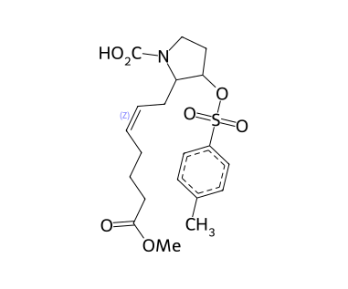 COC(=O)CCC/C=C\CC1C(OS(=O)(=O)c2ccc(C)cc2)CCN1C(=O)O